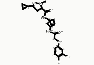 CN1NC(C2CC2)CC1C(=O)NC12CC(C1)C(NC(=O)COc1ccc(Cl)c(F)c1)C2